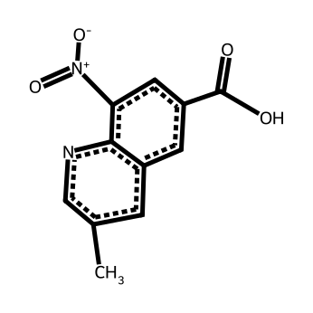 Cc1cnc2c([N+](=O)[O-])cc(C(=O)O)cc2c1